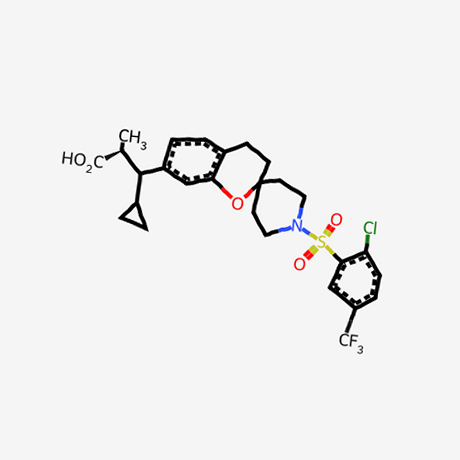 C[C@H](C(=O)O)C(c1ccc2c(c1)OC1(CC2)CCN(S(=O)(=O)c2cc(C(F)(F)F)ccc2Cl)CC1)C1CC1